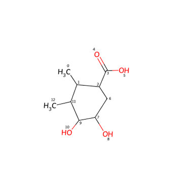 CC1C(C(=O)O)CC(O)C(O)C1C